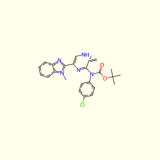 C=C/C(=N\C(=C/N)c1nc2ccccc2n1C)N(C(=O)OC(C)(C)C)c1ccc(Cl)cc1